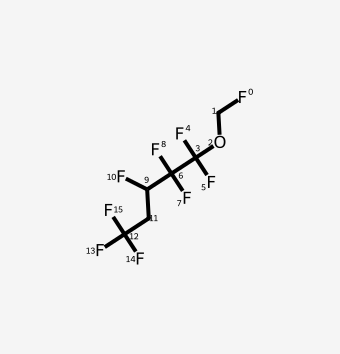 FCOC(F)(F)C(F)(F)C(F)CC(F)(F)F